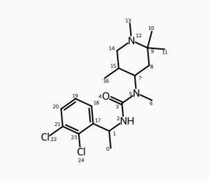 CC(NC(=O)N(C)C1CC(C)(C)N(C)CC1C)c1cccc(Cl)c1Cl